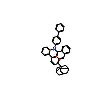 c1ccc(-c2ccc(N(c3ccccc3-c3ccc(C45CC6CC(CC(C6)C4)C5)cc3)c3cccc4ccccc34)cc2)cc1